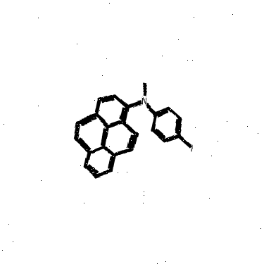 CN(c1ccc(I)cc1)c1ccc2ccc3cccc4ccc1c2c34